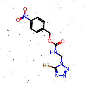 O=C(NCn1nnnc1S)OCc1ccc([N+](=O)[O-])cc1